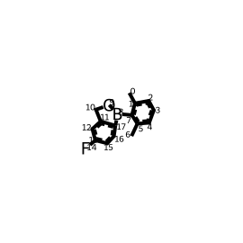 Cc1cccc(C)c1B1OCc2cc(F)ccc21